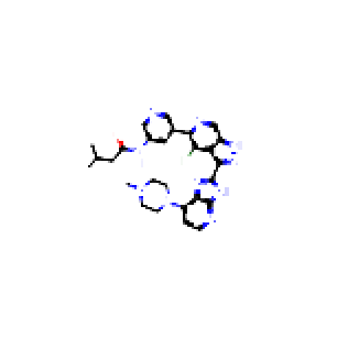 CC(C)CC(=O)Nc1cncc(-c2ncc3[nH]nc(-c4nc5c(N6CCN(C)CC6)ccnc5[nH]4)c3c2F)c1